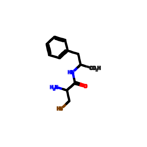 NC(CS)C(=O)NC(Cc1ccccc1)C(=O)O